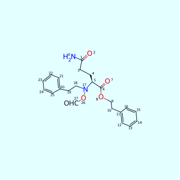 NC(=O)CC[C@@H](C(=O)OCCc1ccccc1)N(CCc1ccccc1)OC=O